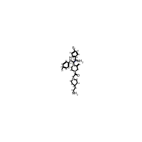 C=C1CN(C(=O)CN2CCC(CCN)CC2)CCN1/C(Nc1ccc(C)cc1)=C(\N)c1ccc(F)cc1